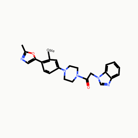 COc1cc(N2CCN(C(=O)Cn3cnc4ccccc43)CC2)ccc1-c1cnc(C)o1